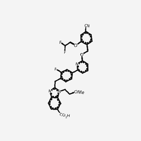 COCCn1c(Cc2ccc(-c3cccc(OCc4ccc(C#N)cc4OCC(F)F)n3)cc2F)nc2ccc(C(=O)O)cc21